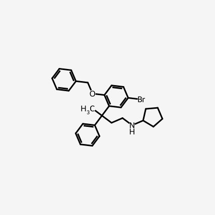 CC(CCNC1CCCC1)(c1ccccc1)c1cc(Br)ccc1OCc1ccccc1